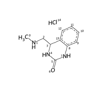 CNCC1NC(=O)Nc2ccccc21.Cl